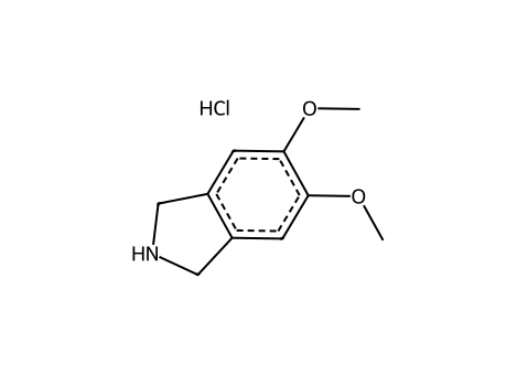 COc1cc2c(cc1OC)CNC2.Cl